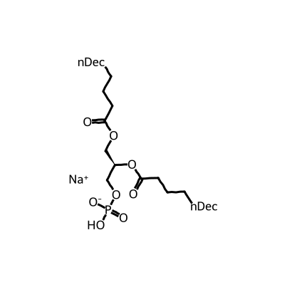 CCCCCCCCCCCCCC(=O)OC[C@H](COP(=O)([O-])O)OC(=O)CCCCCCCCCCCCC.[Na+]